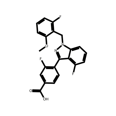 COc1cccc(F)c1Cn1nc(-c2ccc(C(=O)O)cc2F)c2c(F)cccc21